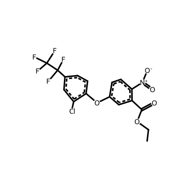 CCOC(=O)c1cc(Oc2ccc(C(F)(F)C(F)(F)F)cc2Cl)ccc1[N+](=O)[O-]